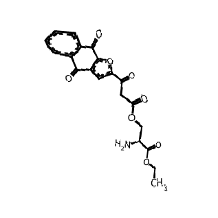 CCOC(=O)[C@@H](N)COC(=O)CC(=O)c1cc2c(o1)C(=O)c1ccccc1C2=O